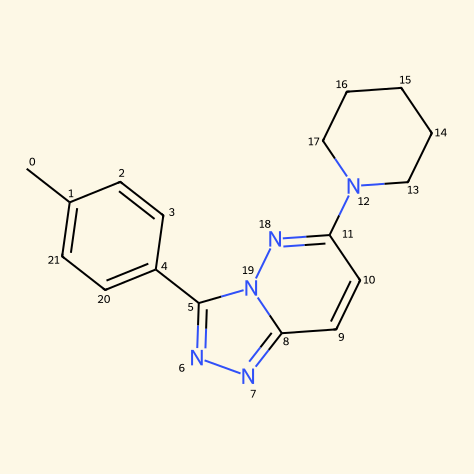 Cc1ccc(-c2nnc3ccc(N4CCCCC4)nn23)cc1